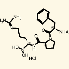 CC(=O)N[C@H](Cc1ccccc1)C(=O)N1CCC[C@H]1C(=O)N[C@@H](CCCN=C(N)N)B(O)O.Cl